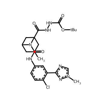 CC1CC2CC(C(=O)NNC(=O)OC(C)(C)C)(C1)N2C(=O)Nc1ccc(Cl)c(-c2ncn(C)n2)c1